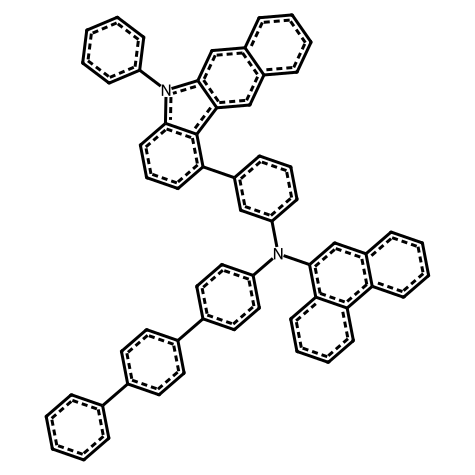 c1ccc(-c2ccc(-c3ccc(N(c4cccc(-c5cccc6c5c5cc7ccccc7cc5n6-c5ccccc5)c4)c4cc5ccccc5c5ccccc45)cc3)cc2)cc1